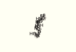 O=C(Cn1cc(Nc2ncnc3cc(OCCN4CCC[C@H]4CO)ccc23)cn1)Nc1cccc(F)c1F